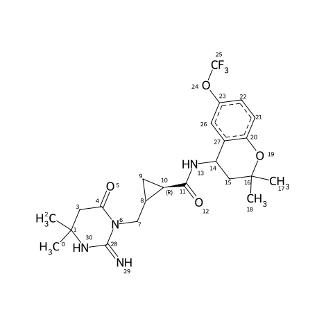 CC1(C)CC(=O)N(CC2C[C@H]2C(=O)NC2CC(C)(C)Oc3ccc(OC(F)(F)F)cc32)C(=N)N1